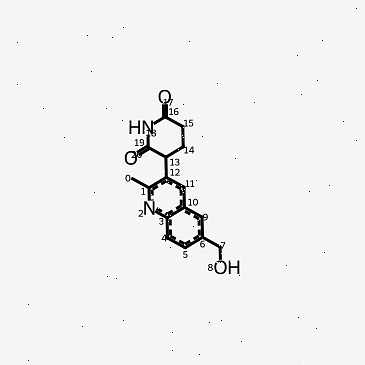 Cc1nc2ccc(CO)cc2cc1C1CCC(=O)NC1=O